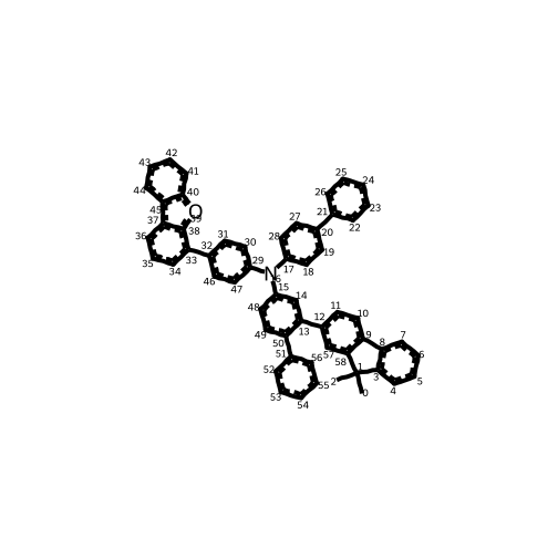 CC1(C)c2ccccc2-c2ccc(-c3cc(N(c4ccc(-c5ccccc5)cc4)c4ccc(-c5cccc6c5oc5ccccc56)cc4)ccc3-c3ccccc3)cc21